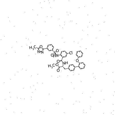 COC(=O)[C@H](Cc1ccc(-c2ccccc2Oc2ccccc2)cc1)NC(=O)c1cc(Cl)ccc1NS(=O)(=O)c1cccc(-c2nnc(C)o2)c1